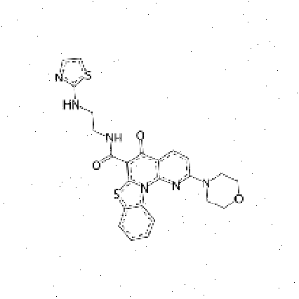 O=C(NCCNc1nccs1)c1c(=O)c2ccc(N3CCOCC3)nc2n2c1sc1ccccc12